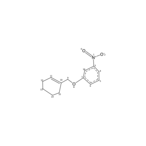 O=[N+]([O-])c1cccc(OCC2=CCCCC2)c1